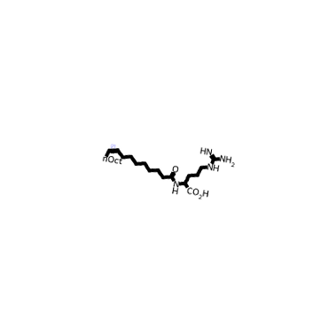 CCCCCCCC/C=C\CCCCCCCC(=O)NC(CCCNC(=N)N)C(=O)O